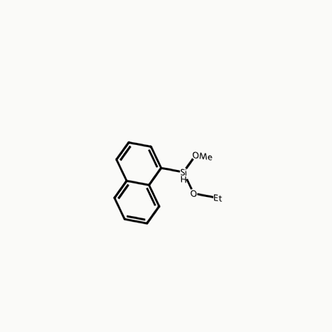 CCO[SiH](OC)c1cccc2ccccc12